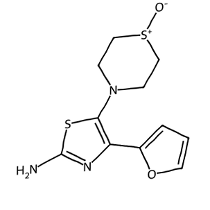 Nc1nc(-c2ccco2)c(N2CC[S+]([O-])CC2)s1